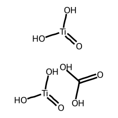 O=C(O)O.[O]=[Ti]([OH])[OH].[O]=[Ti]([OH])[OH]